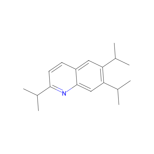 CC(C)c1ccc2cc(C(C)C)c(C(C)C)cc2n1